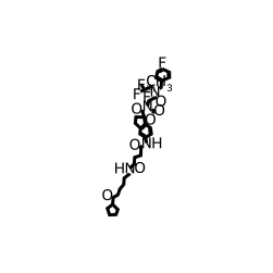 C[C@H](N(Cc1ccc(F)cc1)C(=O)CN1C(=O)OC2(CCc3cc(NC(=O)CCC(=O)NCCCCCC(=O)C4CCCC4)ccc32)C1=O)C(F)(F)F